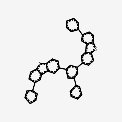 c1ccc(-c2cc(-c3ccc4sc5ccc(-c6ccccc6)cc5c4c3)cc(-c3ccc4sc5ccc(-c6ccccc6)cc5c4c3)c2)cc1